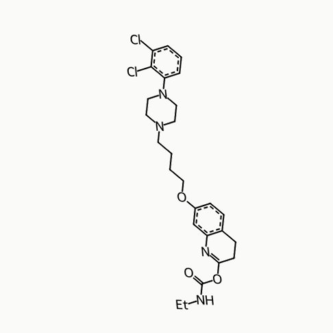 CCNC(=O)OC1=Nc2cc(OCCCCN3CCN(c4cccc(Cl)c4Cl)CC3)ccc2CC1